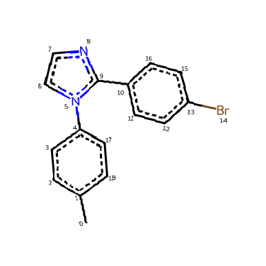 Cc1ccc(-n2ccnc2-c2ccc(Br)cc2)cc1